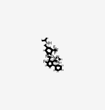 CC(C)NCc1cc(C(F)(F)F)c2oc(-c3c(F)ccc(-c4ccccc4)c3-c3nncn3C)nc2c1